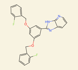 Fc1ccccc1COc1cc(OCc2ccccc2F)cc(-c2nc3cccnc3[nH]2)c1